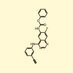 C#Cc1cccc(Nc2ncnc3cc(F)c(NC(=O)Oc4ccccc4)cc23)c1